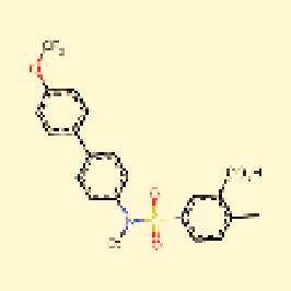 CCN(c1ccc(-c2ccc(OC(F)(F)F)cc2)cc1)S(=O)(=O)c1ccc(C)c(C(=O)O)c1